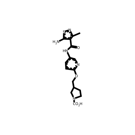 Cc1nsc(N)c1C(=O)Nc1ccc(OCC2CCN(C(=O)O)C2)nc1